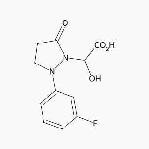 O=C(O)C(O)N1C(=O)CCN1c1cccc(F)c1